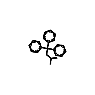 C[C](C)CC(c1ccccc1)(c1ccccc1)c1ccccc1